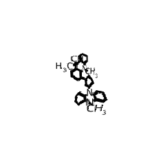 CN1c2ccccc2N(c2cccc(-c3cccc4c3N(C)c3ccccc3C4(C)C)c2)c2ccccc21